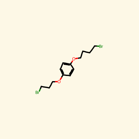 BrCCCCOc1ccc(OCCCBr)cc1